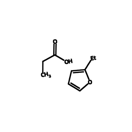 CCC(=O)O.CCc1ccco1